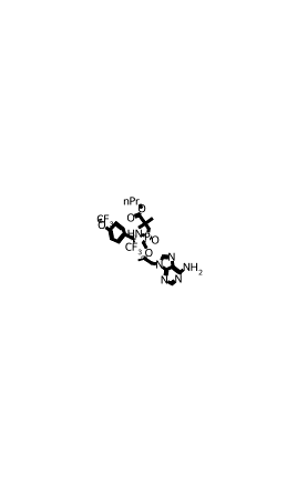 CCCOC(=O)C(C)(C)CP(=O)(CO[C@H](C)Cn1cnc2c(N)ncnc21)N[C@H](c1ccc(OC(F)(F)F)cc1)C(F)(F)F